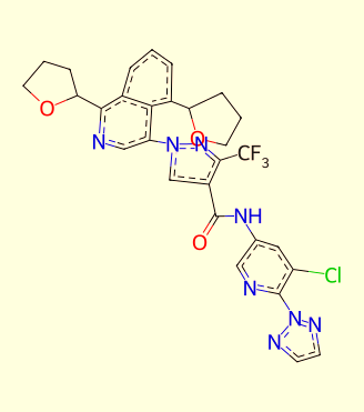 O=C(Nc1cnc(-n2nccn2)c(Cl)c1)c1cn(-c2cnc(C3CCCO3)c3cccc(C4CCCO4)c23)nc1C(F)(F)F